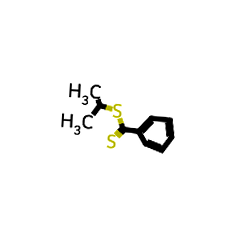 CC(C)SC(=S)c1ccccc1